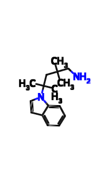 CC(C)(CN)CC(C)(C)n1ccc2ccccc21